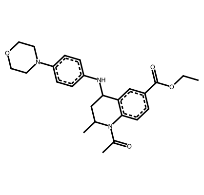 CCOC(=O)c1ccc2c(c1)C(Nc1ccc(N3CCOCC3)cc1)CC(C)N2C(C)=O